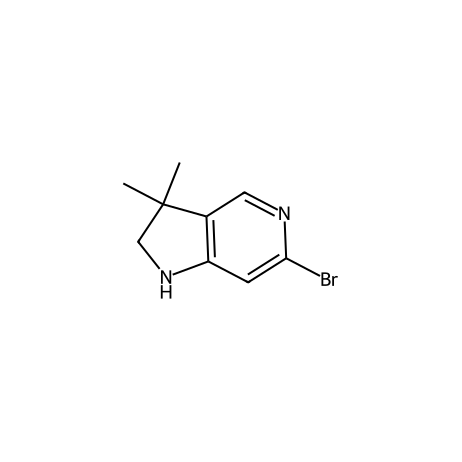 CC1(C)CNc2cc(Br)ncc21